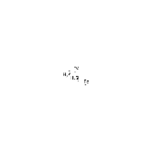 [AlH3].[Fe].[Fe].[SiH4]